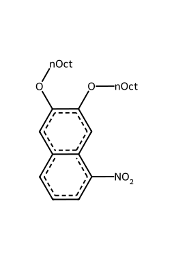 CCCCCCCCOc1cc2cccc([N+](=O)[O-])c2cc1OCCCCCCCC